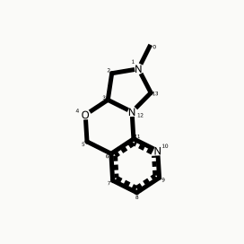 CN1CC2OCc3cccnc3N2C1